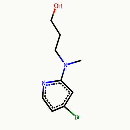 CN(CCCO)c1cc(Br)ccn1